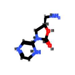 NC[C@H]1CN(C2=CN=CCN2)C(=O)O1